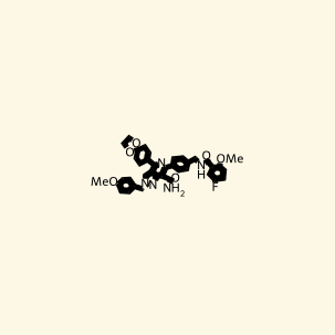 COc1ccc(Cn2cc3c(C4=CCC5(CC4)OCCO5)nc(-c4ccc(CNC(=O)c5cc(F)ccc5OC)cc4)c(C(N)=O)c3n2)cc1